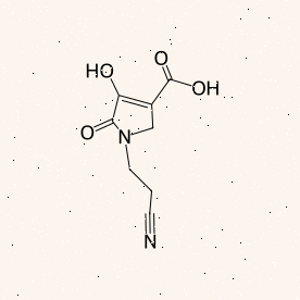 N#CCCN1CC(C(=O)O)=C(O)C1=O